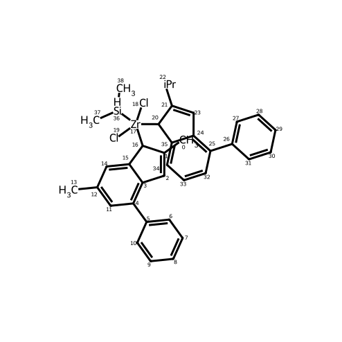 CC1=Cc2c(-c3ccccc3)cc(C)cc2[CH]1[Zr]([Cl])([Cl])([CH]1C(C(C)C)=Cc2c(-c3ccccc3)cccc21)[SiH](C)C